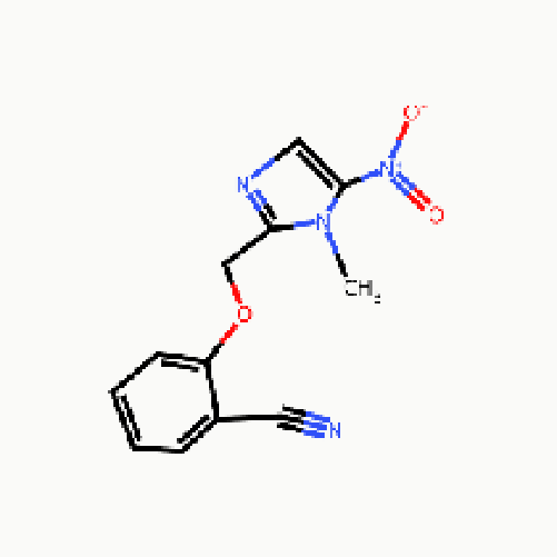 Cn1c([N+](=O)[O-])cnc1COc1ccccc1C#N